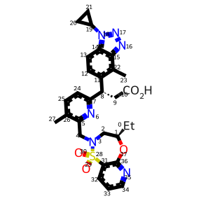 CC[C@@H]1CN(Cc2nc([C@@H](CC(=O)O)c3ccc4c(nnn4C4CC4)c3C)ccc2C)S(=O)(=O)c2cccnc2O1